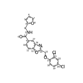 O=C(NCc1ccco1)c1ccc2oc(COc3ccc(Cl)cc3Cl)nc2c1